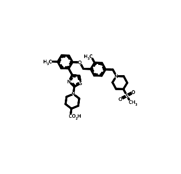 Cc1ccc(OCc2ccc(CN3CCC(S(C)(=O)=O)CC3)cc2C)c(-c2csc(N3CCC(C(=O)O)CC3)n2)c1